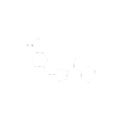 CC(C1CCOCC1)N1CCC(CN2CCC(C(N)=O)CC2)C1